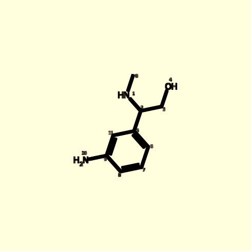 CNC(CO)c1cccc(N)c1